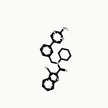 Nc1ncc(-c2cccc(CN(C(=O)c3sc4ccccc4c3Cl)C3CCCCC3)c2)cn1